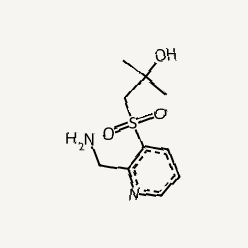 CC(C)(O)CS(=O)(=O)c1cccnc1CN